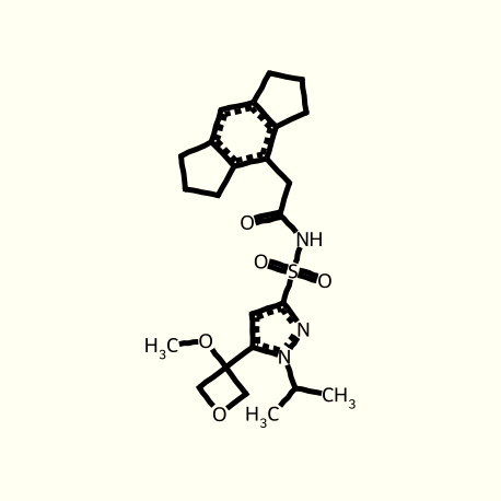 COC1(c2cc(S(=O)(=O)NC(=O)Cc3c4c(cc5c3CCC5)CCC4)nn2C(C)C)COC1